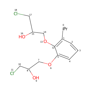 CC(C)c1cccc(OCC(O)CCl)c1OCC(O)CCl